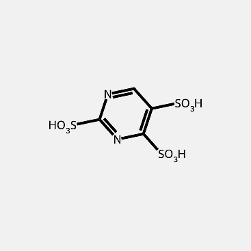 O=S(=O)(O)c1ncc(S(=O)(=O)O)c(S(=O)(=O)O)n1